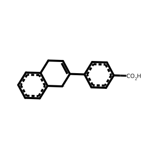 O=C(O)c1ccc(C2=CCc3ccccc3[CH]2)cc1